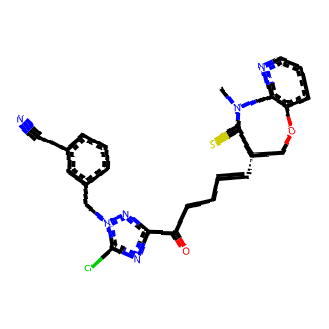 CN1C(=S)[C@@H](/C=C/CCC(=O)c2nc(Cl)n(Cc3cccc(C#N)c3)n2)COc2cccnc21